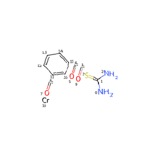 NC(N)=S.[C]=O.[C]=O.[C]=O.[Cr].c1ccccc1